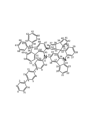 c1ccc(-c2ccc(-c3ccc(N(c4cc5c6c(c4)c4ccccc4n6-c4ccccc4C54c5ccccc5-c5ccccc54)c4cccc5c4-c4ccccc4C5(c4ccccc4)c4ccccc4)cc3)cc2)cc1